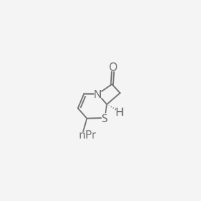 CCCC1C=CN2C(=O)C[C@H]2S1